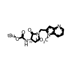 CC(C)(C)OC(=O)N[C@H]1CCN(Cc2cc3ncccc3n2C(=O)O)C1=O